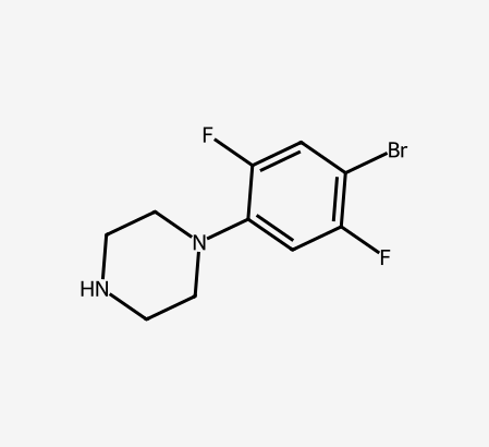 Fc1cc(N2CCNCC2)c(F)cc1Br